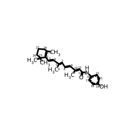 CC1=C(/C=C/C(C)=C/C=C/C(C)=C/C(=O)Nc2[c]cc(O)cc2)C(C)(C)CCC1